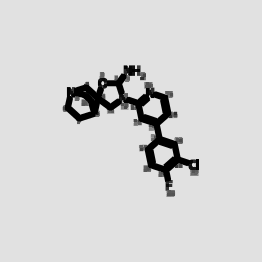 NC1OC2(CN3CCC2CC3)CN1c1cc(-c2ccc(F)c(Cl)c2)ccn1